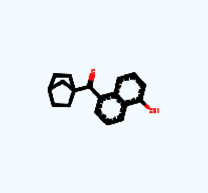 O=C(c1cccc2c(O)cccc12)C12CCC(CC1)C2